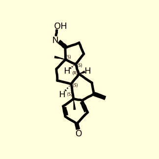 C=C1C[C@@H]2[C@H](CC[C@]3(C)C(=NO)CC[C@@H]23)[C@@]2(C)C=CC(=O)C=C12